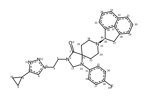 O=C1N(CCn2cc(C3CC3)nn2)CN(c2ccc(F)cc2)C12CCN([C@@H]1Cc3cccc4cccc1c34)CC2